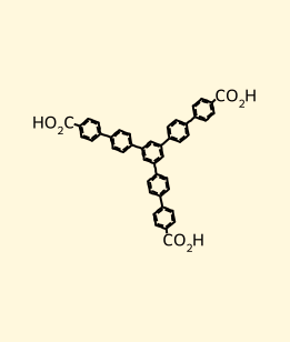 O=C(O)c1ccc(-c2ccc(-c3cc(-c4ccc(-c5ccc(C(=O)O)cc5)cc4)cc(-c4ccc(-c5ccc(C(=O)O)cc5)cc4)c3)cc2)cc1